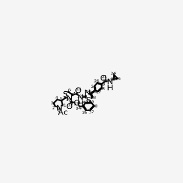 CC(=O)N1CCCC(C2SC[C@@H](C(=O)Nc3nc(-c4ccc(C(=O)NC5CC5)cc4)cs3)N2C(=O)OCc2ccccc2)C1